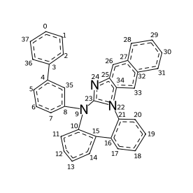 c1ccc(-c2cccc(N3c4ccccc4-c4ccccc4-n4c3nc3cc5ccccc5cc34)c2)cc1